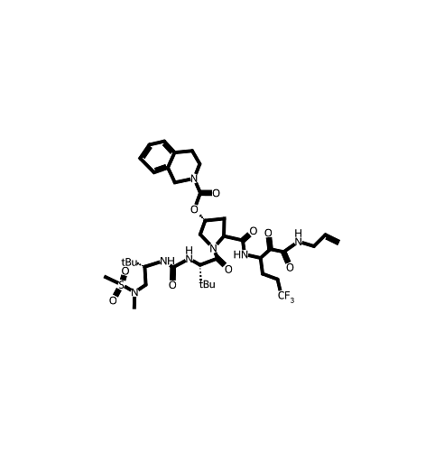 C=CCNC(=O)C(=O)C(CCC(F)(F)F)NC(=O)C1C[C@@H](OC(=O)N2CCc3ccccc3C2)CN1C(=O)[C@@H](NC(=O)N[C@H](CN(C)S(C)(=O)=O)C(C)(C)C)C(C)(C)C